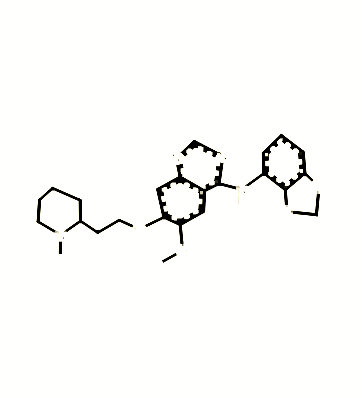 COc1cc2c(Nc3cccc4c3OCO4)ncnc2cc1OCCC1CCCCN1C